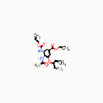 C=CCOC(=O)N[C@H]1CC(C(=O)OCC)=C[C@@H](OC(CC)CC)[C@@H]1NC(C)=O